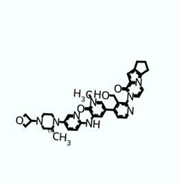 C[C@H]1CN(C2COC2)CCN1c1ccc(Nc2cc(-c3ccnc(-n4ccn5c6c(cc5c4=O)CCC6)c3CO)cn(C)c2=O)nc1